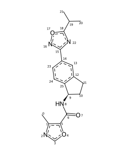 Cc1ncoc1C(=O)N[C@@H]1CCc2cc(-c3noc(C(C)C)n3)ccc21